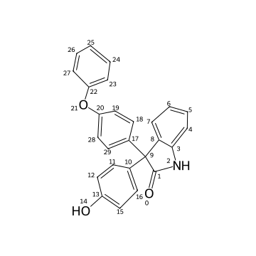 O=C1Nc2ccccc2C1(c1ccc(O)cc1)c1ccc(Oc2ccccc2)cc1